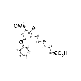 COC(CCOc1ccccc1)C(CCCCCCCC(=O)O)C(C)=O